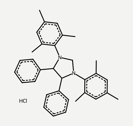 Cc1cc(C)c(N2CN(c3c(C)cc(C)cc3C)C(c3ccccc3)C2c2ccccc2)c(C)c1.Cl